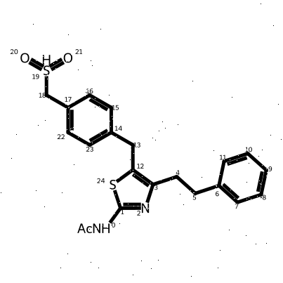 CC(=O)Nc1nc(CCc2c[c]ccc2)c(Cc2ccc(C[SH](=O)=O)cc2)s1